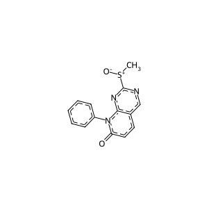 C[S+]([O-])c1ncc2ccc(=O)n(-c3ccccc3)c2n1